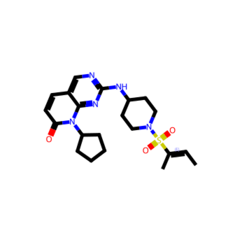 C/C=C(\C)S(=O)(=O)N1CCC(Nc2ncc3ccc(=O)n(C4CCCC4)c3n2)CC1